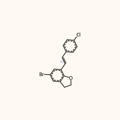 Clc1ccc(/C=C/c2cc(Br)cc3c2OCC3)cc1